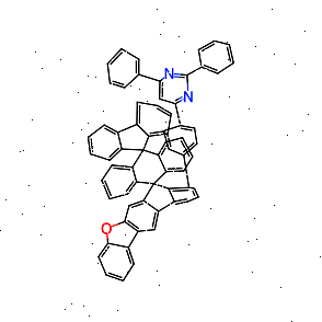 c1ccc(-c2cc(-c3ccc(-c4cccc5c4C4(c6cc7oc8ccccc8c7cc6-5)c5ccccc5C5(c6ccccc6-c6ccccc65)c5ccccc54)cc3)nc(-c3ccccc3)n2)cc1